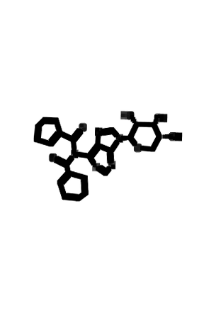 O=C(c1ccccc1)N(C(=O)c1ccccc1)c1ncnc2c1ncn2[C@@H]1OC[C@@H](O)[C@@H](O)[C@H]1O